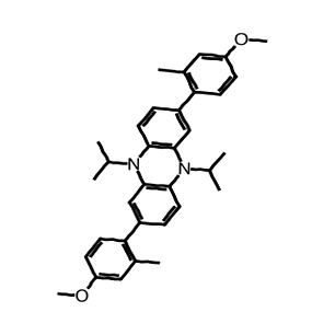 COc1ccc(-c2ccc3c(c2)N(C(C)C)c2ccc(-c4ccc(OC)cc4C)cc2N3C(C)C)c(C)c1